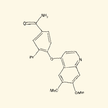 COc1cc2nccc(Oc3ccc(C(N)=O)cc3C(C)C)c2cc1OC